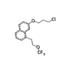 FC(F)(F)OCCc1cccc2ccc(OCCCCl)cc12